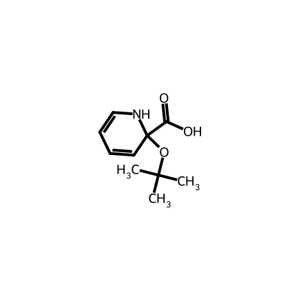 CC(C)(C)OC1(C(=O)O)C=CC=CN1